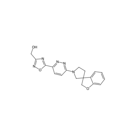 OCc1noc(-c2ccc(N3CCC4(COc5ccccc54)C3)nn2)n1